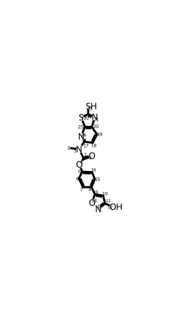 CN(C(=O)Oc1ccc(-c2cc(O)no2)cc1)c1ccc2nc(S)sc2n1